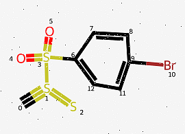 C#S(=S)S(=O)(=O)c1ccc(Br)cc1